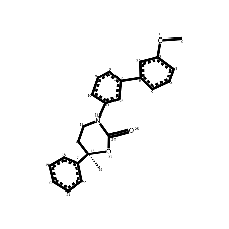 COc1cccc(-c2cccc(N3CC[C@](C)(c4ccccc4)OC3=O)c2)c1